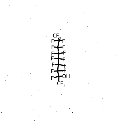 OC(F)(C(F)(F)F)C(F)(F)C(F)(F)C(F)(F)C(F)(F)C(F)(F)C(F)(F)C(F)(F)F